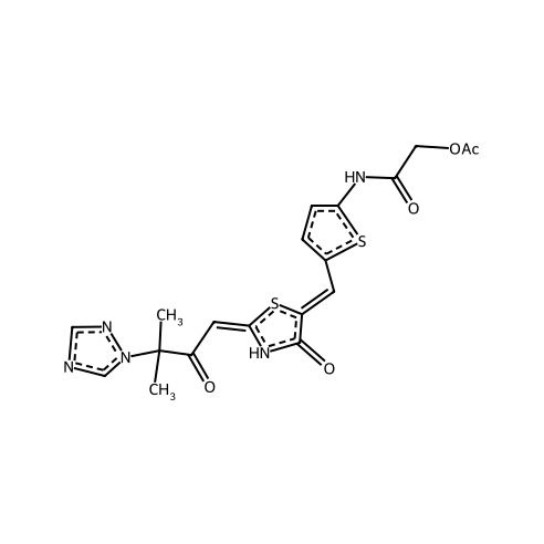 CC(=O)OCC(=O)Nc1ccc(/C=c2\s/c(=C/C(=O)C(C)(C)n3cncn3)[nH]c2=O)s1